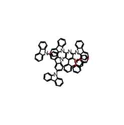 c1ccc(-c2ccccc2-c2c(-n3c4ccccc4c4ccccc43)c(-n3c4ccccc4c4ccccc43)nc(-n3c4ccccc4c4ccccc43)c2-n2c3ccc(-n4c5ccccc5c5ccccc54)cc3c3cc(-n4c5ccccc5c5ccccc54)ccc32)cc1